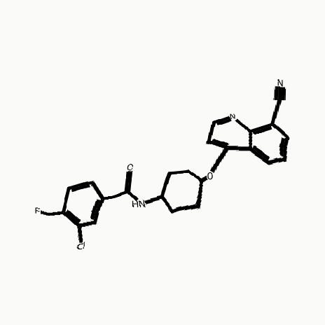 N#Cc1cccc2c(OC3CCC(NC(=O)c4ccc(F)c(Cl)c4)CC3)ccnc12